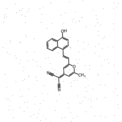 CC1=CC(=C(C#N)C#N)C=C(C=Cc2ccc(O)c3ccccc23)O1